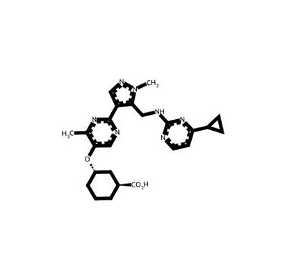 Cc1nc(-c2cnn(C)c2CNc2nccc(C3CC3)n2)ncc1O[C@H]1CCC[C@H](C(=O)O)C1